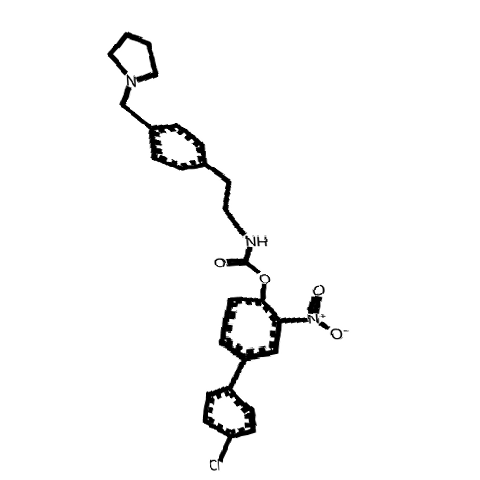 O=C(NCCc1ccc(CN2CCCC2)cc1)Oc1ccc(-c2ccc(Cl)cc2)cc1[N+](=O)[O-]